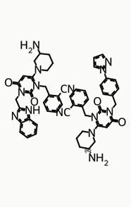 N#Cc1ccccc1Cn1c(N2CCCC(N)C2)cc(=O)n(Cc2nc3ccccc3[nH]2)c1=O.N#Cc1ccccc1Cn1c(N2CCC[C@@H](N)C2)cc(=O)n(Cc2ccc(-n3cccn3)cc2)c1=O